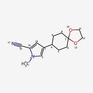 Cn1cc(C2CCC3(CC2)OCCO3)cc1C#N